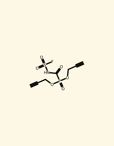 C#CCOP(=O)(OCC#C)C(=O)NS(=O)(=O)F